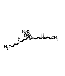 CCCCNCCCSO[Si](CCCNCCCC)(OC)OC